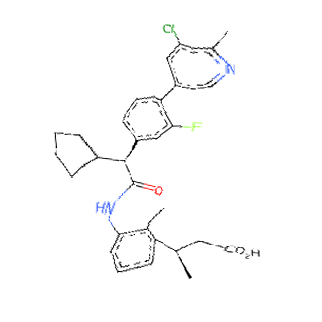 Cc1ncc(-c2ccc([C@@H](C(=O)Nc3cccc([C@H](C)CC(=O)O)c3C)C3CCCC3)cc2F)cc1Cl